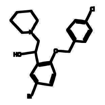 OC(CN1CCCCC1)c1cc(Br)ccc1OCc1ccc(Cl)cc1